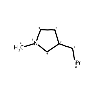 CC(C)CC1CCN(C)C1